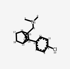 CN(C)CC1=C(c2ccc(Cl)cc2)C2CCC1CC2